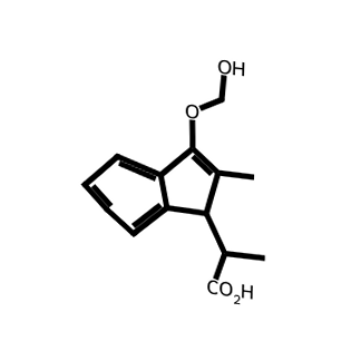 CC1=C(OCO)c2ccccc2C1C(C)C(=O)O